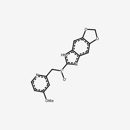 COc1ccnc(C[S+]([O-])c2nc3cc4c(cc3[nH]2)OCO4)c1